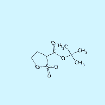 CC(C)(C)OC(=O)C1CCOS1(=O)=O